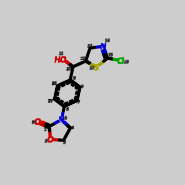 O=C1OCCN1c1ccc(C(O)C2CN=C(Cl)S2)cc1